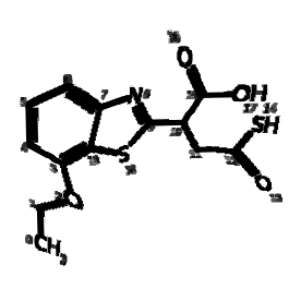 CCOc1cccc2nc(C(CC(=O)S)C(=O)O)sc12